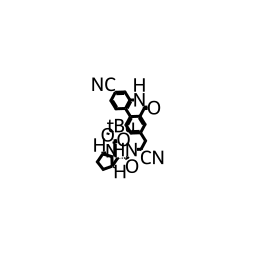 CC(C)(C)OC(=O)N1[C@@H]2CC[C@@H](C2)[C@H]1C(=O)NC(C#N)Cc1ccc2c(c1)c(=O)[nH]c1cc(C#N)ccc12